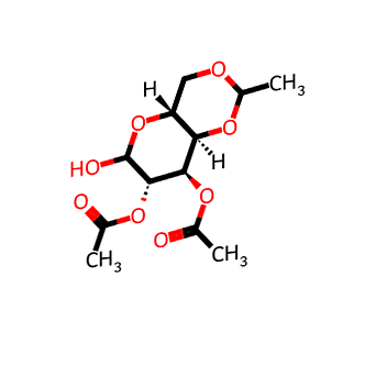 CC(=O)O[C@@H]1[C@@H]2OC(C)OC[C@H]2OC(O)[C@H]1OC(C)=O